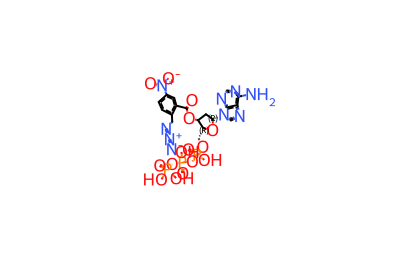 [N-]=[N+]=NCc1ccc([N+](=O)[O-])cc1C(=O)OC1C[C@H](n2cnc3c(N)ncnc32)O[C@@H]1COP(=O)(O)OP(=O)(O)OP(=O)(O)O